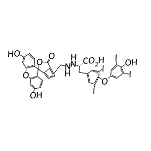 O=C1OC2(c3ccc(O)cc3Oc3cc(O)ccc32)c2cccc(CNN[C@@H](Cc3cc(I)c(Oc4cc(I)c(O)c(I)c4)c(I)c3)C(=O)O)c21